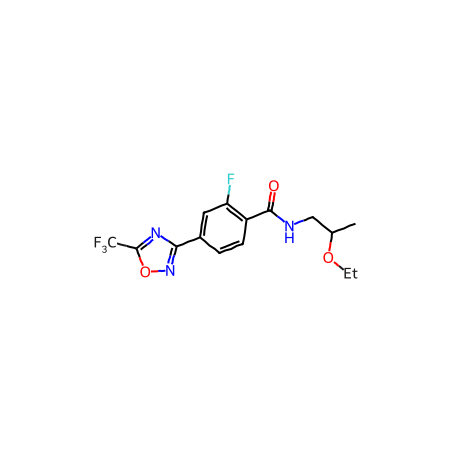 CCOC(C)CNC(=O)c1ccc(-c2noc(C(F)(F)F)n2)cc1F